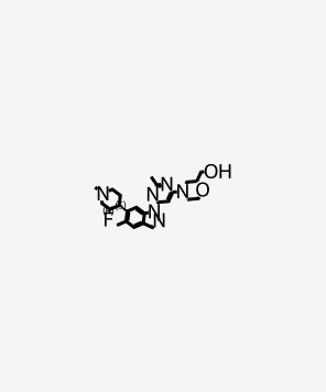 Cc1nc(N2CCOC(CO)C2)cc(-n2ncc3cc(C)c([C@@H]4CCN(C)C[C@@H]4F)cc32)n1